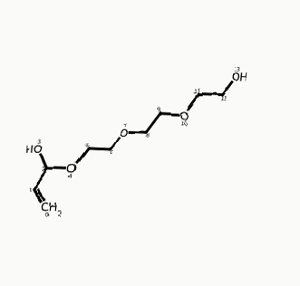 C=CC(O)OCCOCCOCCO